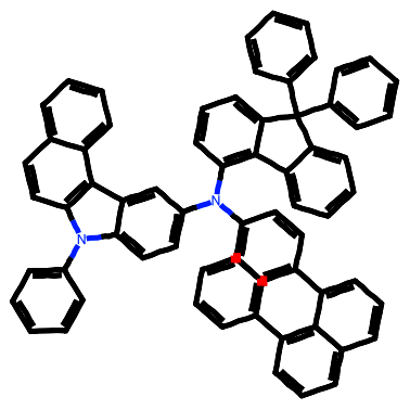 c1ccc(-c2cccc3cccc(-c4ccc(N(c5ccc6c(c5)c5c7ccccc7ccc5n6-c5ccccc5)c5cccc6c5-c5ccccc5C6(c5ccccc5)c5ccccc5)cc4)c23)cc1